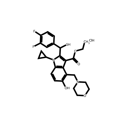 CCOC(=O)c1c(C(S)c2ccc(F)c(F)c2)n(C2CC2)c2ccc(O)c(CN3CCOCC3)c12.Cl